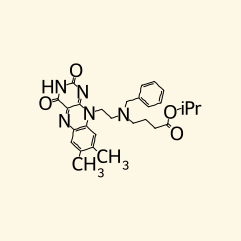 Cc1cc2nc3c(=O)[nH]c(=O)nc-3n(CCN(CCCC(=O)OC(C)C)Cc3ccccc3)c2cc1C